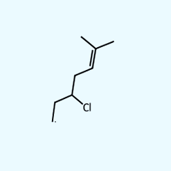 [CH2]CC(Cl)CC=C(C)C